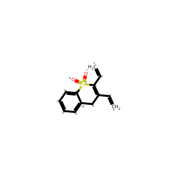 C=CC1=C(C=C)S(=O)(=O)c2ccccc2C1